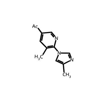 CC(=O)c1cnc(-n2cnc(C)c2)c(C)c1